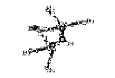 CC(C)(C)OCCOCCOCCOc1cc(COc2cc(CO)cc(OCc3cc(OCCOCCOCCOC(C)(C)C)c(OCCOCCOCCOC(C)(C)C)c(OCCOCCOCCOC(C)(C)C)c3)c2)cc(OCCOCCOCCOC(C)(C)C)c1OCCOCCOCCOC(C)(C)C